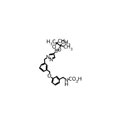 CC1(C)OB(c2cnn(Cc3cccc(COc4cccc(CNC(=O)O)c4)c3)c2)OC1(C)C